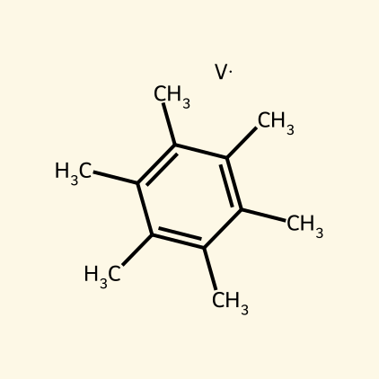 Cc1c(C)c(C)c(C)c(C)c1C.[V]